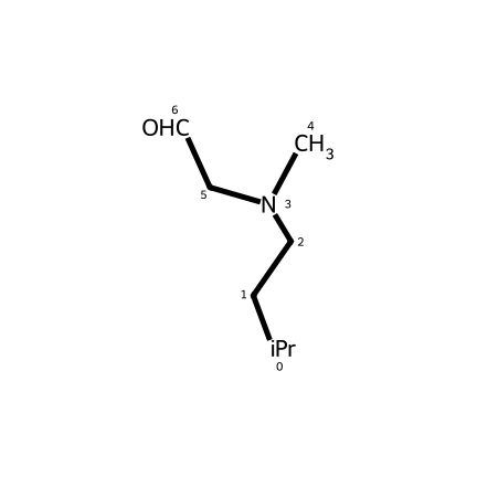 CC(C)CCN(C)CC=O